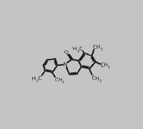 Cc1cccc(-n2ccc3c(C)c(C)c(C)c(C)c3c2=O)c1C